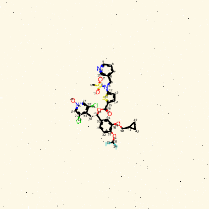 CS(=O)(=O)N(Cc1cccnc1)c1ccc(C(=O)O[C@@H](Cc2c(Cl)c[n+]([O-])cc2Cl)c2ccc(OC(F)F)c(OCC3CC3)c2)s1